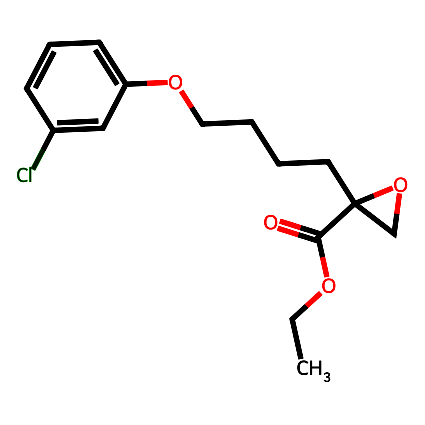 CCOC(=O)C1(CCCCOc2cccc(Cl)c2)CO1